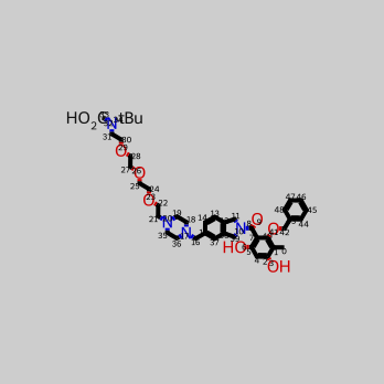 Cc1c(O)cc(O)c(C(=O)N2Cc3ccc(CN4CCN(CCOCCOCCOCCN(C(=O)O)C(C)(C)C)CC4)cc3C2)c1OCc1ccccc1